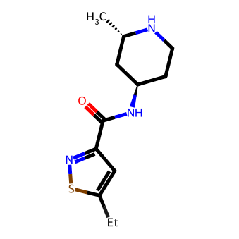 CCc1cc(C(=O)N[C@@H]2CCN[C@@H](C)C2)ns1